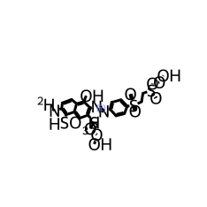 [2H]Nc1ccc2c(O)c(/N=N/c3ccc(S(=O)(=O)CCS(=O)OOO)cc3)c(SOOO)cc2c1S(=O)(=O)O